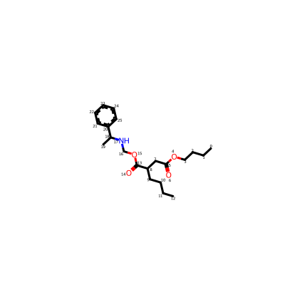 CCCCOC(=O)CC(CCCC)C(=O)OCNC(C)c1ccccc1